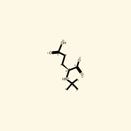 CC(C)(C)N[C@@H](CCC(=O)O)C([O])=O